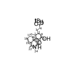 Cc1c(CCC(=O)OC(C)(C)C)cc(O)c(O)c1C12CCC=CC1C(C)N(C)CC2